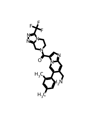 Cc1ccc(-c2cn3c(C(=O)N4CCn5c(nnc5C(F)(F)F)C4)cnc3cc2CN)c(C)c1